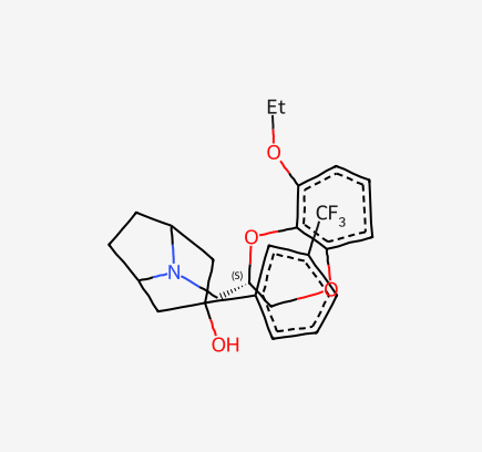 CCOc1cccc2c1O[C@@H](CN1C3CCC1CC(O)(c1cccc(C(F)(F)F)c1)C3)CO2